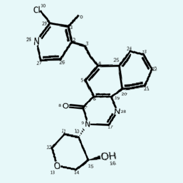 Cc1c(Cc2cc3c(=O)n([C@H]4CCOC[C@@H]4O)cnc3c3ccccc23)ccnc1Cl